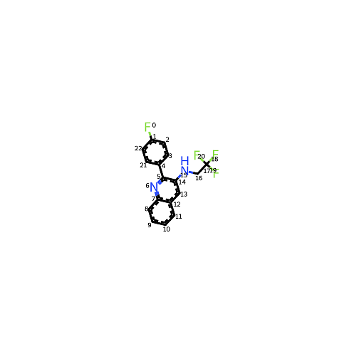 Fc1ccc(-c2nc3ccccc3cc2NCC(F)(F)F)cc1